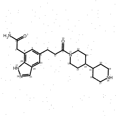 NC(=O)Cc1cc(C[CH]C(=O)N2CCC(C3CCNCC3)CC2)cc2cn[nH]c12